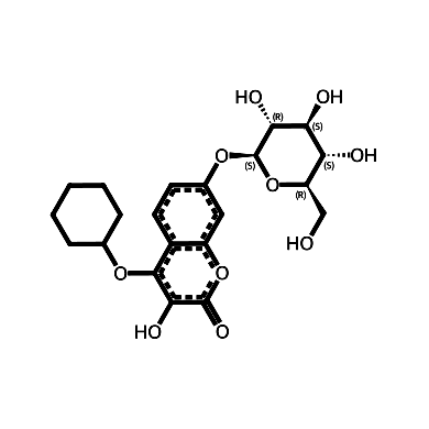 O=c1oc2cc(O[C@@H]3O[C@H](CO)[C@@H](O)[C@H](O)[C@H]3O)ccc2c(OC2CCCCC2)c1O